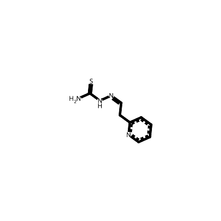 NC(=S)N/N=C\Cc1ccccn1